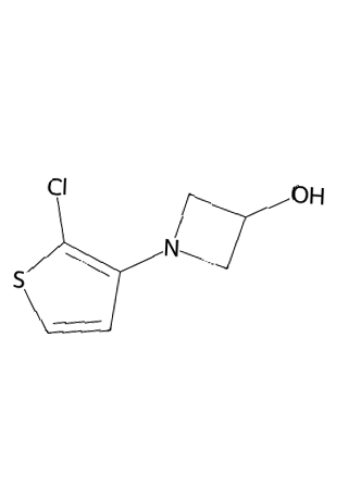 OC1CN(c2ccsc2Cl)C1